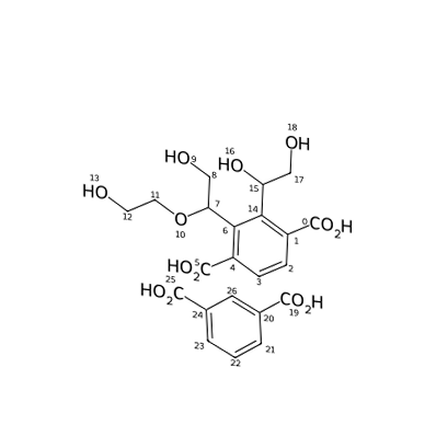 O=C(O)c1ccc(C(=O)O)c(C(CO)OCCO)c1C(O)CO.O=C(O)c1cccc(C(=O)O)c1